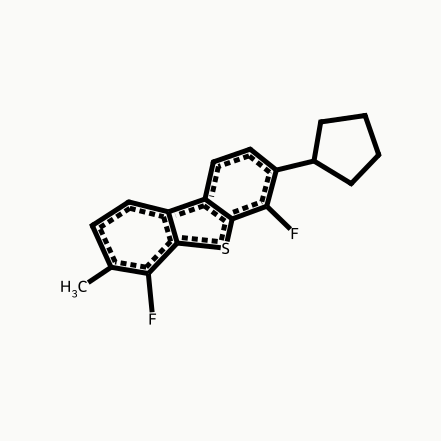 Cc1ccc2c(sc3c(F)c(C4CCCC4)ccc32)c1F